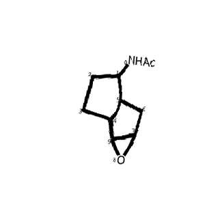 CC(=O)NC1CCC2C1CC1OC12